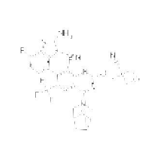 N#Cc1c(N)sc2c(F)ccc(-c3c(C(F)(F)F)cc4c(N5CC6CCC(C5)N6)nc(OCC5(C#N)COC5)nc4c3F)c12